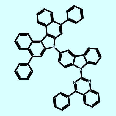 c1ccc(-c2nc(-n3c4ccccc4c4cc(-n5c6cc(-c7ccccc7)c7ccccc7c6c6c7ccccc7c(-c7ccccc7)cc65)ccc43)nc3ccccc23)cc1